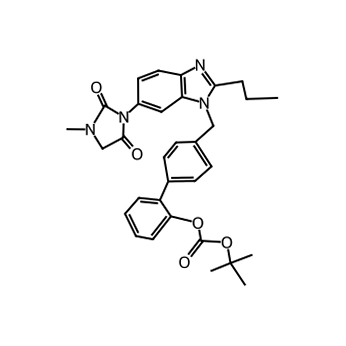 CCCc1nc2ccc(N3C(=O)CN(C)C3=O)cc2n1Cc1ccc(-c2ccccc2OC(=O)OC(C)(C)C)cc1